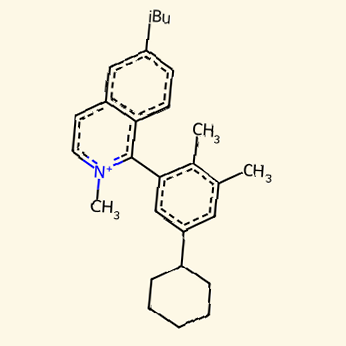 CCC(C)c1ccc2c(-c3cc(C4CCCCC4)cc(C)c3C)[n+](C)ccc2c1